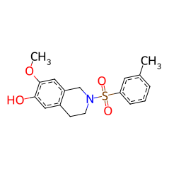 COc1cc2c(cc1O)CCN(S(=O)(=O)c1cccc(C)c1)C2